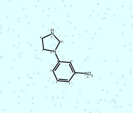 O=[N+]([O-])c1cccc(N2CCNC2)c1